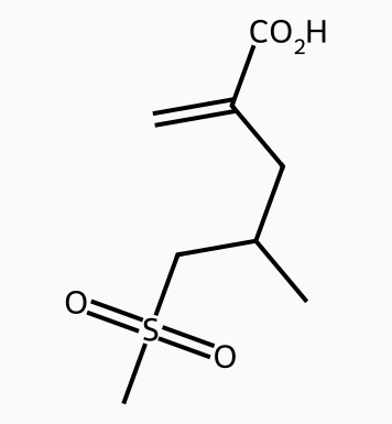 C=C(CC(C)CS(C)(=O)=O)C(=O)O